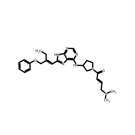 CC/C(=C\c1nc2c(NC3CCN(C(=O)/C=C/CN(C)C)C3)ncnc2[nH]1)COc1ccccc1